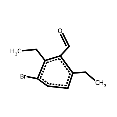 CCc1ccc(Br)c(CC)c1C=O